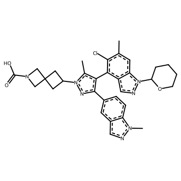 Cc1cc2c(cnn2C2CCCCO2)c(-c2c(-c3ccc4c(cnn4C)c3)nn(C3CC4(C3)CN(C(=O)O)C4)c2C)c1Cl